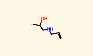 [CH2]C(O)CNCC=C